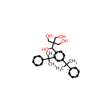 CC(C)(c1ccccc1)c1ccc(C(O)C(CO)(CO)CO)c(C(C)(C)c2ccccc2)c1